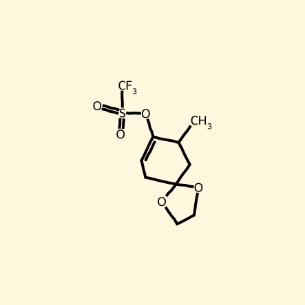 CC1CC2(CC=C1OS(=O)(=O)C(F)(F)F)OCCO2